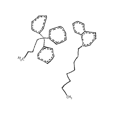 CCCCCCCC[n+]1cccc2ccccc21.CCCC[B-](c1ccccc1)(c1ccccc1)c1ccccc1